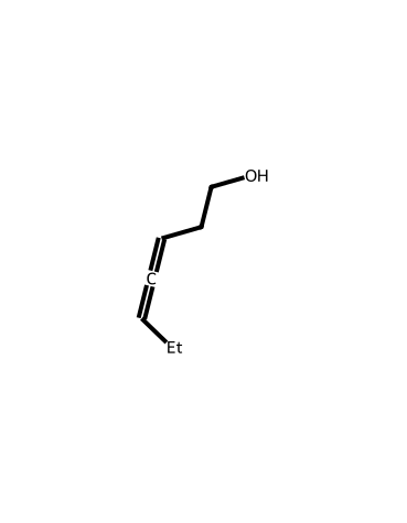 CCC=C=CCCO